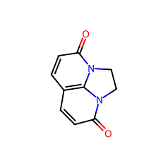 O=c1ccc2ccc(=O)n3c2n1CC3